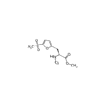 COC(=O)[C@H](Cc1ccc(S(C)(=O)=O)o1)NCl